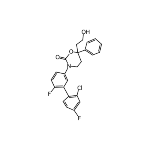 O=C1OC(CCO)(c2ccccc2)CCN1c1ccc(F)c(-c2ccc(F)cc2Cl)c1